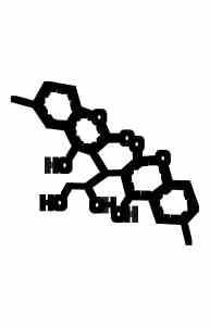 Cc1ccc2oc(=O)c(C(c3c(O)c4cc(C)ccc4oc3=O)C(O)CO)c(O)c2c1